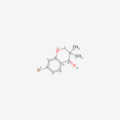 CC1(C)COc2cc(Br)ccc2C1=O